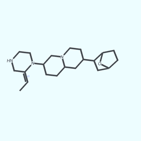 C/C=C1\CNCCN1C1CCC2CC(C3CC4CCC3O4)CCN2C1